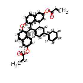 C=CC(=O)Oc1ccc2c3c(ccc2c1)Oc1ccc2cc(OC(=O)C=C)ccc2c1C3C1=CC=C(C2=CC=CCC2)CC1